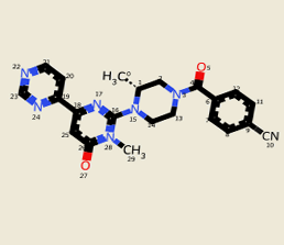 C[C@@H]1CN(C(=O)c2ccc(C#N)cc2)CCN1c1nc(-c2ccncn2)cc(=O)n1C